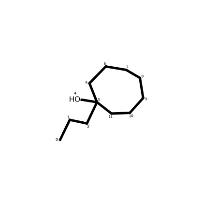 CCCC1(O)CCCCCCC1